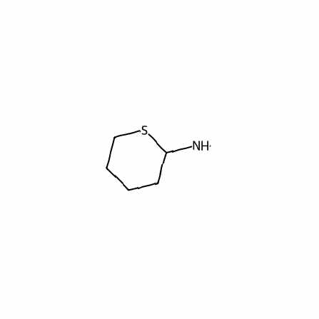 [NH]C1CCCCS1